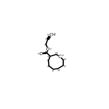 C#CCOC(=O)C1CCCCCCCC1